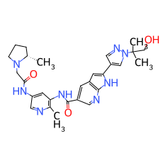 Cc1ncc(NC(=O)CN2CCC[C@@H]2C)cc1NC(=O)c1cnc2[nH]c(-c3cnn(C(C)(C)CO)c3)cc2c1